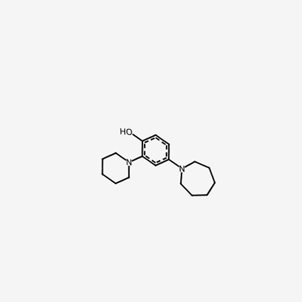 Oc1ccc(N2CCCCCC2)cc1N1CCCCC1